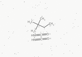 CCC(C)(C)C.N=C=O.N=C=O